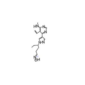 C=Cc1c(NC)ncnc1-c1cnn(C(CC)CC/C=N/O)c1